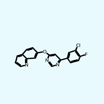 Fc1ccc(-c2cc(Oc3ccc4cccnc4c3)ncn2)cc1Cl